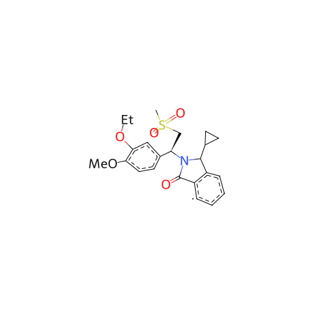 CCOc1cc([C@@H](CS(C)(=O)=O)N2C(=O)c3[c]cccc3C2C2CC2)ccc1OC